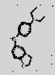 CCN(CC)c1ccc(Nc2ccc3c(c2)CCO3)cc1